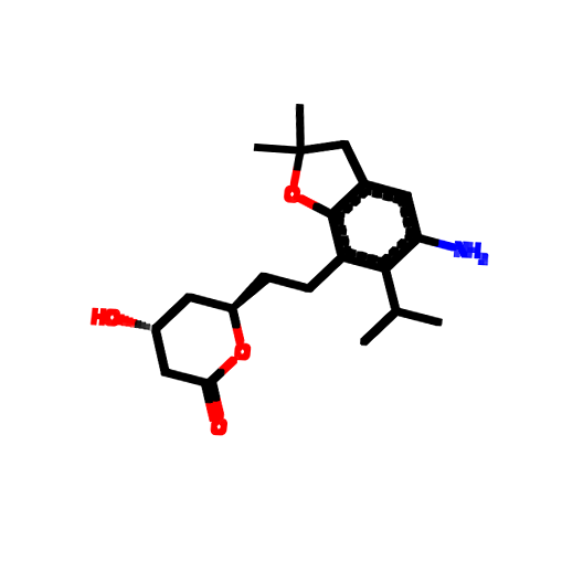 CC(C)c1c(N)cc2c(c1CC[C@@H]1C[C@@H](O)CC(=O)O1)OC(C)(C)C2